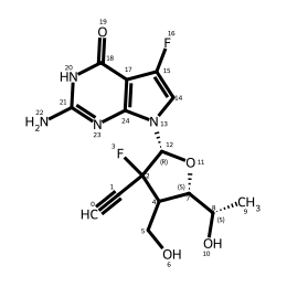 C#CC1(F)C(CO)[C@@H]([C@H](C)O)O[C@H]1n1cc(F)c2c(=O)[nH]c(N)nc21